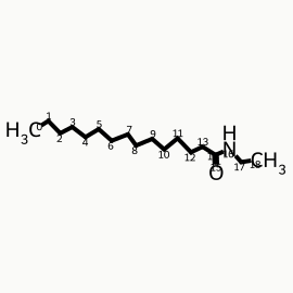 CCCCCCCCCCCCCCC(=O)NCC